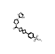 CS(=O)(=O)c1ccc(C2CC3(C2)CN(C(=O)N2CC[C@H](c4nnc[nH]4)C2)C3)cc1